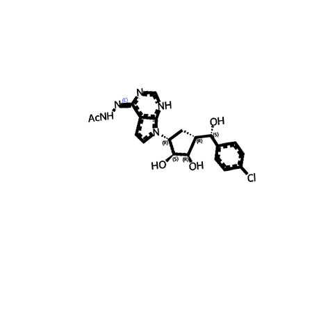 CC(=O)N/N=c1/nc[nH]c2c1ccn2[C@@H]1C[C@H]([C@H](O)c2ccc(Cl)cc2)[C@@H](O)[C@H]1O